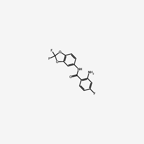 Nc1cc(F)ccc1C(=O)Nc1ccc2c(c1)OC(F)(F)O2